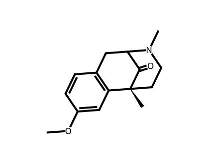 COc1ccc2c(c1)[C@@]1(C)CCN(C)C(C2)C1=O